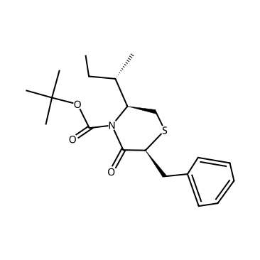 CC[C@H](C)[C@H]1CS[C@@H](Cc2ccccc2)C(=O)N1C(=O)OC(C)(C)C